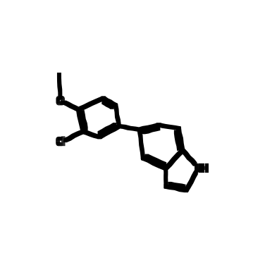 COc1ccc(-c2ccc3[nH]ccc3c2)cc1Cl